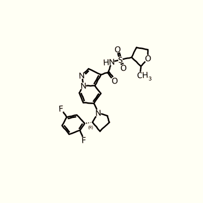 CC1OCCC1S(=O)(=O)NC(=O)c1cnn2ccc(N3CCC[C@@H]3c3cc(F)ccc3F)cc12